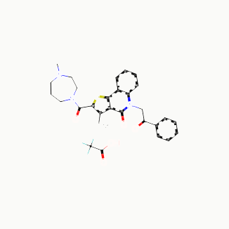 COc1c(C(=O)N2CCCN(C)CC2)sc2c1c(=O)n(CC(=O)c1ccccc1)c1ccccc21.O=C(O)C(F)(F)F